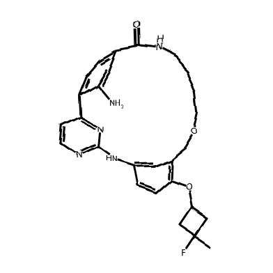 CC1(F)CC(Oc2ccc3cc2COCCCCNC(=O)c2ccc(c(N)c2)-c2ccnc(n2)N3)C1